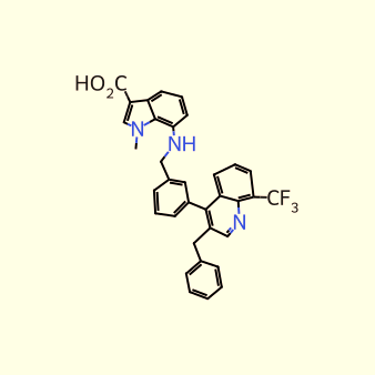 Cn1cc(C(=O)O)c2cccc(NCc3cccc(-c4c(Cc5ccccc5)cnc5c(C(F)(F)F)cccc45)c3)c21